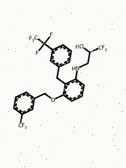 O[C@H](CNc1cccc(OCc2cccc(C(F)(F)F)c2)c1Cc1cccc(C(F)(F)C(F)(F)F)c1)C(F)(F)F